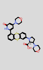 O=C(O)[C@@H]1C(N2CCOCC2)CCN1c1ccc2c(c1)Sc1cccc(-c3cc(N4CCOCC4)cc(=O)[nH]3)c1S2